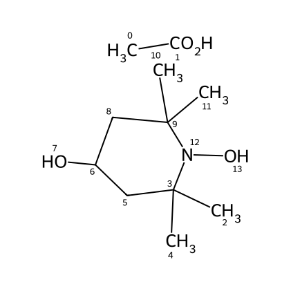 CC(=O)O.CC1(C)CC(O)CC(C)(C)N1O